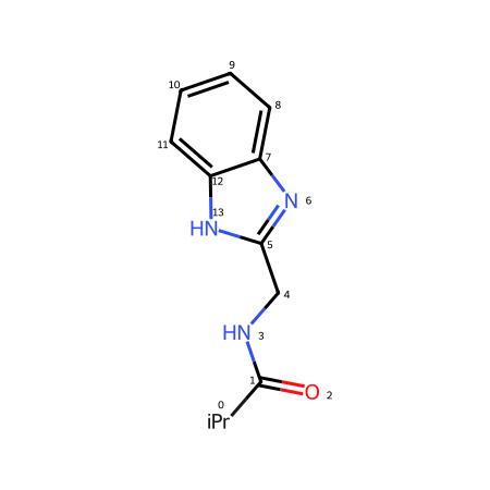 CC(C)C(=O)NCc1nc2ccccc2[nH]1